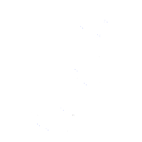 Nc1nc(-c2cc3ncn(CCC[C@@H](Nc4cn[nH]c(=O)c4C(F)(F)F)C4CC4)c(=O)c3cc2F)cnc1C(F)(F)F